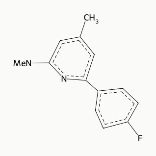 CNc1cc(C)cc(-c2ccc(F)cc2)n1